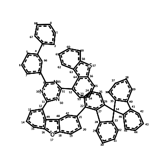 c1ccc(-c2cccc(-c3nc(-c4cccc5oc6ccc(-c7cccc8c7-c7ccccc7C87c8ccccc8-c8ccccc87)cc6c45)nc(-c4cccc5sc6ccccc6c45)n3)c2)cc1